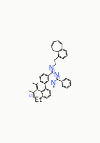 C=N/C(=N\C(=N/CCc1cccc2c1CC=CC=C2)c1cccc(-c2cccc(C)c2C(=C(C)C)/C(C)=C\CC)c1)c1ccccc1